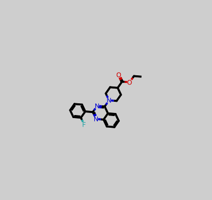 CCOC(=O)C1CCN(c2nc(-c3ccccc3F)nc3ccccc23)CC1